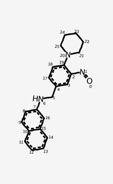 O=Nc1cc(CNc2ccc3ccccc3c2)ccc1N1CCCCC1